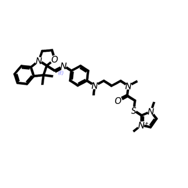 CN(CCCN(C)c1ccc(/N=C/C23OCCN2c2ccccc2C3(C)C)cc1)C(=O)CSc1n(C)cc[n+]1C